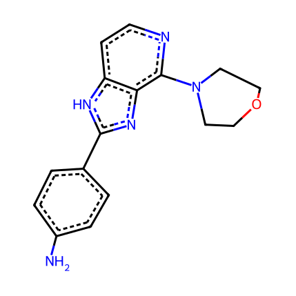 Nc1ccc(-c2nc3c(N4CCOCC4)nccc3[nH]2)cc1